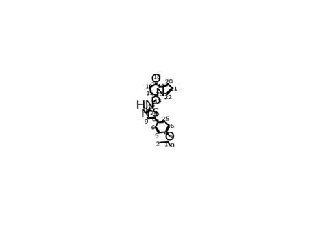 CC(C)Oc1ccc(-c2cnc(NO[C@H]3CCC(=O)c4cccn43)s2)cc1